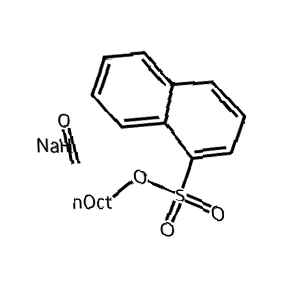 C=O.CCCCCCCCOS(=O)(=O)c1cccc2ccccc12.[NaH]